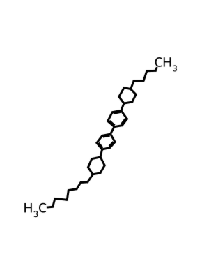 CCCCCCCCC1CCC(c2ccc(-c3ccc(C4CCC(CCCCC)CC4)cc3)cc2)CC1